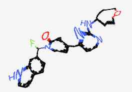 O=c1cc(-c2ccnc(NC3CCOCC3)n2)ccn1C(F)c1ccc2cc[nH]c2c1